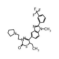 CCC1SC(=O)N(CCN2CCCC2)N=C1c1ccc2c(c1)nc(-c1cccc(C(F)(F)F)c1)n2C